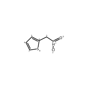 O=[PH](Cl)Cc1cccs1